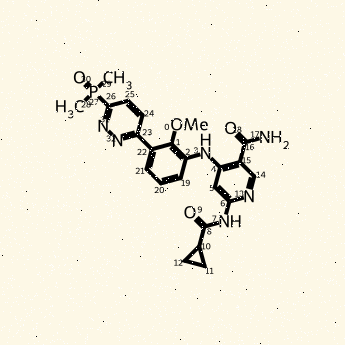 COc1c(Nc2cc(NC(=O)C3CC3)ncc2C(N)=O)cccc1-c1ccc(P(C)(C)=O)nn1